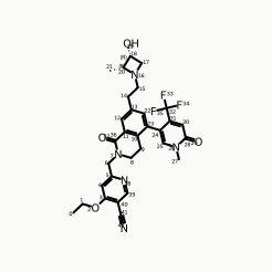 CCOc1cc(CN2CCc3c(cc(CCN4C[C@@H](O)[C@H]4C)cc3-c3cn(C)c(=O)cc3C(F)(F)F)C2=O)ncc1C#N